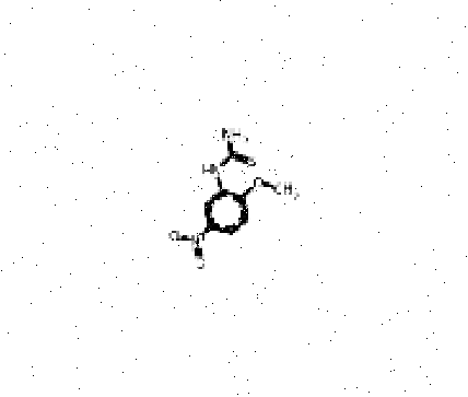 COc1ccc([N+](=O)[O-])cc1NC(N)=S